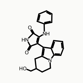 O=C1NC(=O)C(c2c3n(c4ccccc24)CCC(CO)C3)=C1Nc1ccccc1